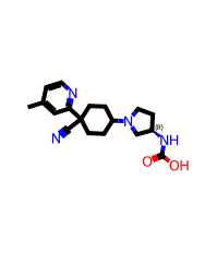 Cc1ccnc(C2(C#N)CCC(N3CC[C@@H](NC(=O)O)C3)CC2)c1